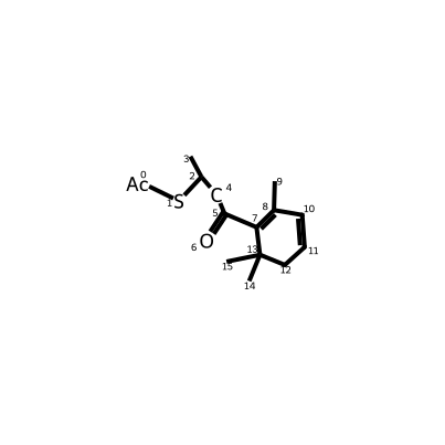 CC(=O)SC(C)CC(=O)C1=C(C)C=CCC1(C)C